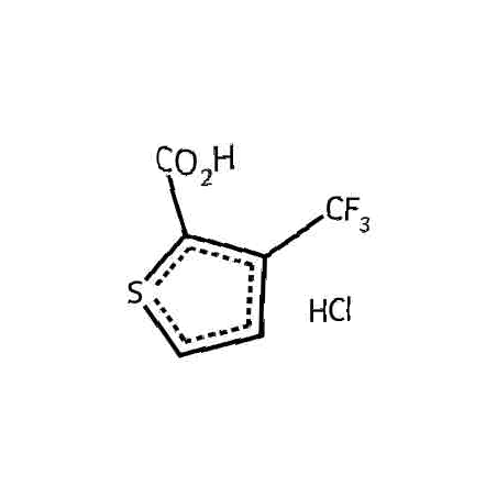 Cl.O=C(O)c1sccc1C(F)(F)F